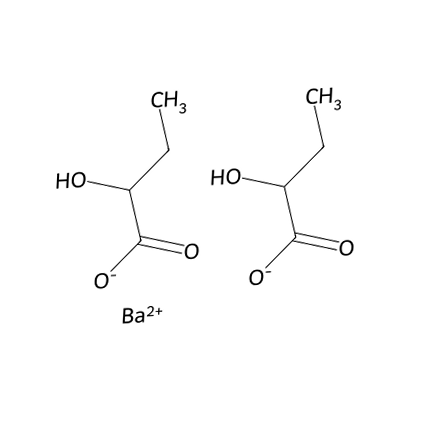 CCC(O)C(=O)[O-].CCC(O)C(=O)[O-].[Ba+2]